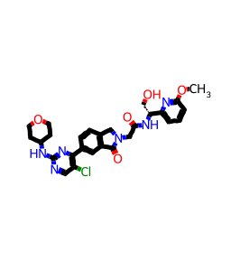 COc1cccc([C@@H](CO)NC(=O)CN2Cc3ccc(-c4nc(NC5CCOCC5)ncc4Cl)cc3C2=O)n1